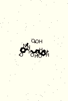 COc1ccc2nc(C)nc(SCC(=O)c3ccc([C@@]4(O)C[C@H]5C[C@@H]4CN5C)s3)c2c1.O=CO